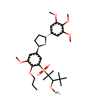 CCCOc1c(OC)cc([C@H]2CC[C@H](c3cc(OC)c(OC)c(OC)c3)S2)cc1S(=O)(=O)C(C)(C)C(O[SiH3])C(C)(C)C